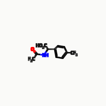 O=C(O)C(NC(=O)C(F)(F)F)c1ccc(C(F)(F)F)cc1